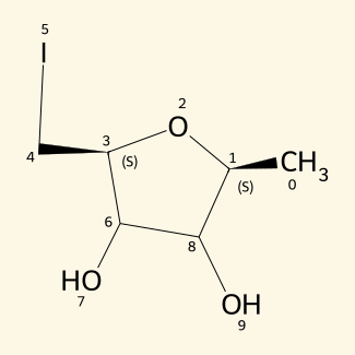 C[C@@H]1O[C@H](CI)C(O)C1O